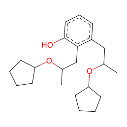 CC(Cc1cccc(O)c1CC(C)OC1CCCC1)OC1CCCC1